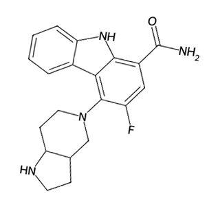 NC(=O)c1cc(F)c(N2CCC3NCCC3C2)c2c1[nH]c1ccccc12